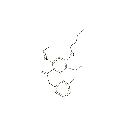 C=C(Cc1cccc(C)c1)c1cc(CC)c(OCCCC)cc1/N=C\C